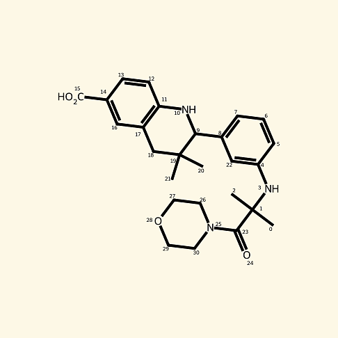 CC(C)(Nc1cccc(C2Nc3ccc(C(=O)O)cc3CC2(C)C)c1)C(=O)N1CCOCC1